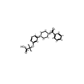 CC(C)(Oc1cccc(N2CCN(C(=O)c3ccccc3)CC2)c1)C(=O)O